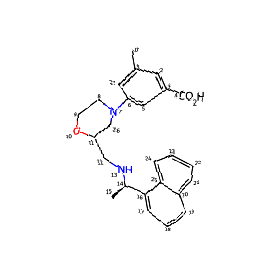 Cc1cc(C(=O)O)cc(N2CCOC(CN[C@H](C)c3cccc4ccccc34)C2)c1